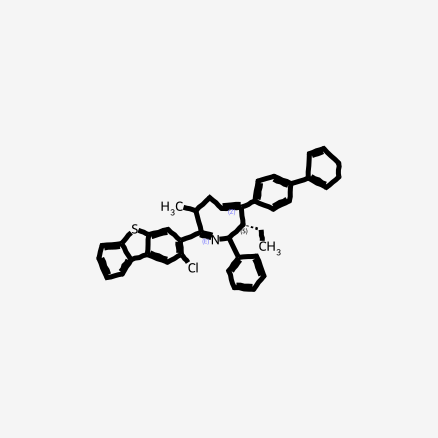 CC[C@H]1/C(c2ccc(C3=CCCC=C3)cc2)=C/CC(C)/C(c2cc3sc4ccccc4c3cc2Cl)=N\C1c1ccccc1